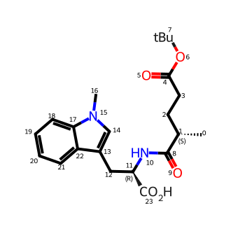 C[C@@H](CCC(=O)OC(C)(C)C)C(=O)N[C@H](Cc1cn(C)c2ccccc12)C(=O)O